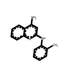 Cc1ccccc1Nc1cc(N)c2ccccc2n1